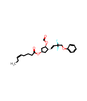 CC/C=C\CCCC(=O)O[C@@H]1C[C@@H](/C=C/C(F)(F)COc2ccccc2)[C@H](OC=O)C1